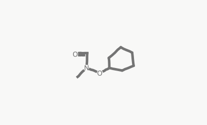 CN(C=O)OC1CCCCC1